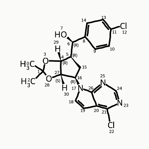 CC1(C)O[C@@H]2[C@@H]([C@@H](O)c3ccc(Cl)cc3)C[C@@H](n3ccc4c(Cl)ncnc43)[C@@H]2O1